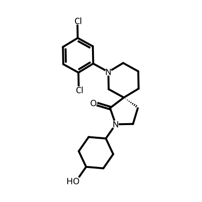 O=C1N(C2CCC(O)CC2)CC[C@]12CCCN(c1cc(Cl)ccc1Cl)C2